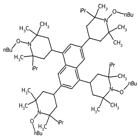 CCCCON1C(C)(C)CC(c2cc(C3CC(C)(C)N(OCCCC)C(C)(C(C)C)C3)c3cc(C4CC(C)(C)N(OCCCC)C(C)(C(C)C)C4)cc(C4CC(C)(C)N(OCCCC)C(C)(C(C)C)C4)c3c2)CC1(C)C(C)C